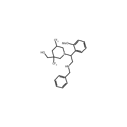 COc1ccccc1C(CNCc1ccccc1)N1CC(C(F)(F)F)CC(CO)(C(F)(F)F)C1